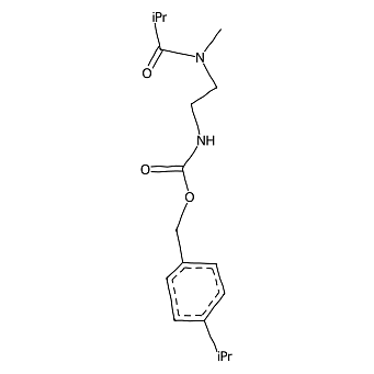 CC(C)C(=O)N(C)CCNC(=O)OCc1ccc(C(C)C)cc1